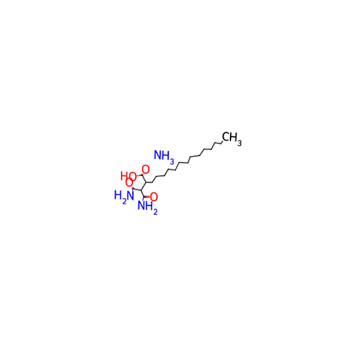 CCCCCCCCCCCCCCC(C(=O)O)C(C(N)=O)C(N)=O.N